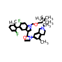 Cc1cc(N2C=COC2c2cn(COCC[Si](C)(C)C)c3cc(F)c(-c4c(C)cccc4F)cc23)cc2c1CCN(C)C2